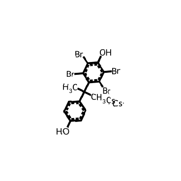 CC(C)(c1ccc(O)cc1)c1c(Br)c(Br)c(O)c(Br)c1Br.[Cs].[Cs]